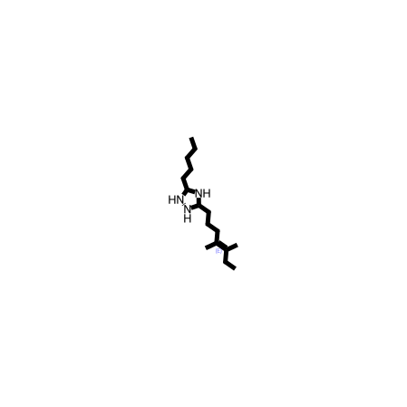 CCCCCC1NNC(CCC/C(C)=C(\C)CC)N1